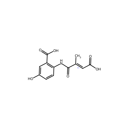 C/C(=C\C(=O)O)C(=O)Nc1ccc(O)cc1C(=O)O